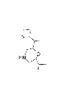 CC(C)C1CNCC(C(C)C2CCS2)O1